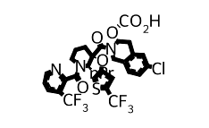 CCC[C@H]1N(C(=O)c2ncccc2C(F)(F)F)CCC[C@@]1(Oc1csc(C(F)(F)F)c1)C(=O)N1Cc2ccc(Cl)cc2C[C@H]1OC(=O)O